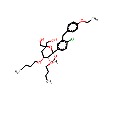 CCCCO[C@H]1CC(CO)(CO)O[C@@](OC)(c2ccc(Cl)c(Cc3ccc(OCC)cc3)c2)[C@@H]1OCCCC